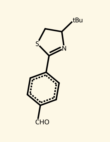 CC(C)(C)C1CSC(c2ccc(C=O)cc2)=N1